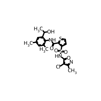 Cc1cc(C)c(NC(=O)c2sccc2S(=O)(=O)Nc2onc(C)c2Cl)c(C(C)O)c1